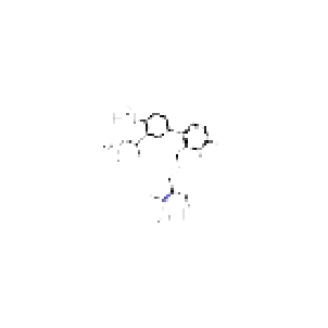 CC/C(CCCc1c(-c2ccc(NC)c(C(C)CN(C)C)c2)ccc(F)c1F)=C(/C)NC